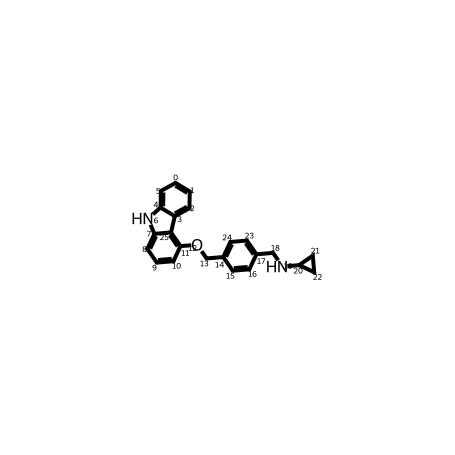 c1ccc2c(c1)[nH]c1cccc(OCc3ccc(CNC4CC4)cc3)c12